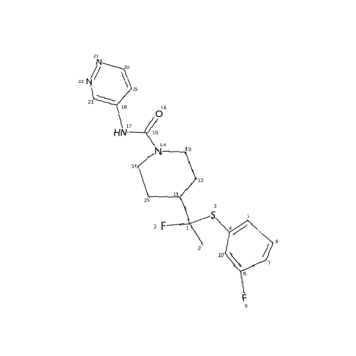 CC(F)(Sc1cccc(F)c1)C1CCN(C(=O)Nc2ccnnc2)CC1